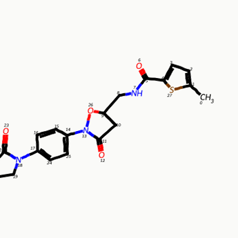 Cc1ccc(C(=O)NCC2CC(=O)N(c3ccc(N4CCCC4=O)cc3)O2)s1